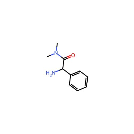 CN(C)C(=O)C(N)c1ccccc1